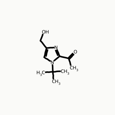 CC(=O)c1nc(CO)cn1C(C)(C)C